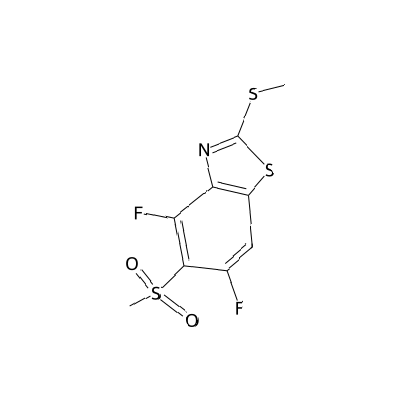 CSc1nc2c(F)c(S(C)(=O)=O)c(F)cc2s1